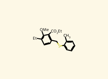 CCOC(=O)c1c(CSc2ccccc2C)ccc(CC)c1OC